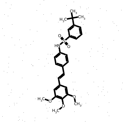 COc1cc(C=Cc2ccc(NS(=O)(=O)c3cccc(C(C)(C)C)c3)cc2)cc(OC)c1OC